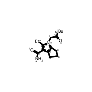 CCc1c(C(N)=O)c2c(n1CC(=O)C(C)CC)CCC2